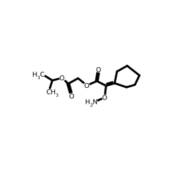 CC(C)OC(=O)COC(=O)C(ON)=C1CCCCC1